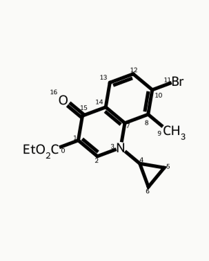 CCOC(=O)c1cn(C2CC2)c2c(C)c(Br)ccc2c1=O